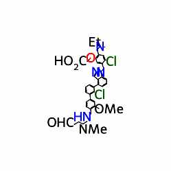 CCN(C)Cc1cc(Cl)c(Cn2ncc3c(-c4cccc(-c5ccc(CNCC(CCC=O)NC)c(OC)c5)c4Cl)cccc32)cc1OCC(=O)O